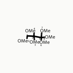 COCC(OC)(OC)C(OC)(OC)OC